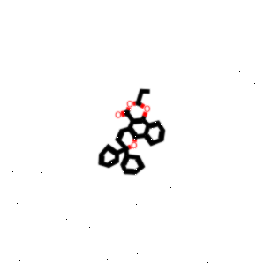 CCC1OC(=O)c2c3c(c4ccccc4c2O1)OC(c1ccccc1)(c1ccccc1)C=C3